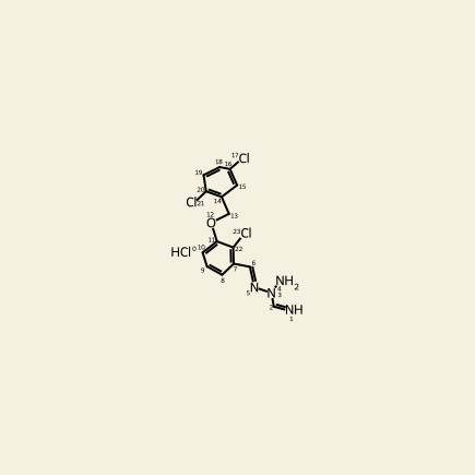 Cl.N=CN(N)/N=C/c1cccc(OCc2cc(Cl)ccc2Cl)c1Cl